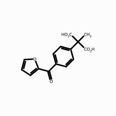 CC(C(=O)O)(C(=O)O)c1ccc(C(=O)c2ccco2)cc1